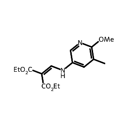 CCOC(=O)C(=CNc1cnc(OC)c(C)c1)C(=O)OCC